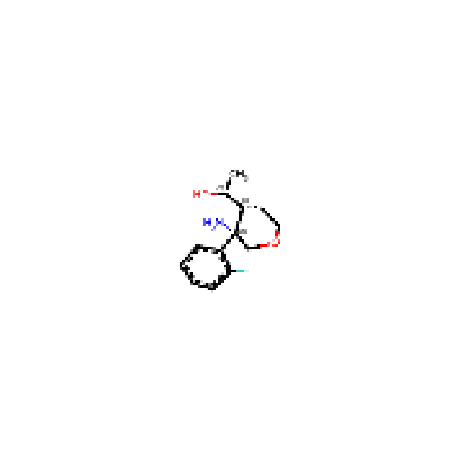 C[C@H](O)[C@@H]1CCOC[C@@]1(N)c1ccccc1F